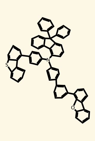 c1ccc(C2(c3ccccc3)c3ccccc3-c3c(N(c4ccc(-c5cccc(-c6cccc7c6oc6ccccc67)c5)cc4)c4ccc(-c5cccc6sc7ccccc7c56)cc4)cccc32)cc1